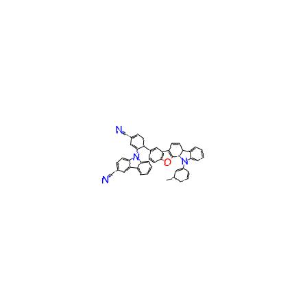 CC1C=C(N2c3ccccc3C3C=Cc4c(oc5ccc(C6CC=C(C#N)C=C6n6c7ccccc7c7cc(C#N)ccc76)cc45)C32)C=CC1